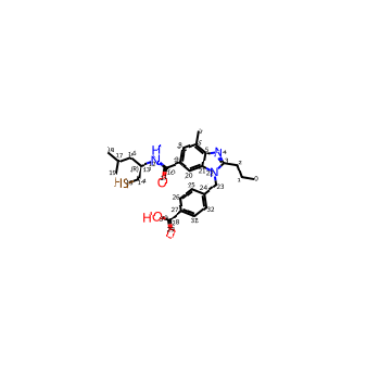 CCCc1nc2c(C)cc(C(=O)N[C@@H](CS)CC(C)C)cc2n1Cc1ccc(C(=O)O)cc1